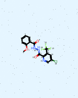 COc1ccccc1C(=O)NNC(=O)c1ncc(Cl)cc1C(F)(F)F